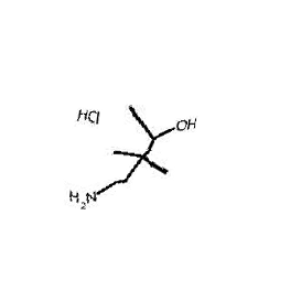 CC(O)C(C)(C)CN.Cl